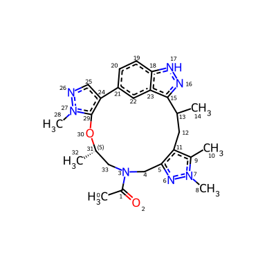 CC(=O)N1Cc2nn(C)c(C)c2CC(C)c2n[nH]c3ccc(cc23)-c2cnn(C)c2O[C@@H](C)C1